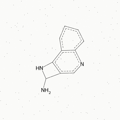 NC1Nc2c1cnc1ccccc21